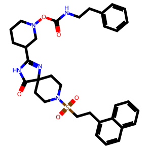 O=C(NCCc1ccccc1)ON1CCCC(C2=NC3(CCN(S(=O)(=O)CCc4cccc5ccccc45)CC3)C(=O)N2)C1